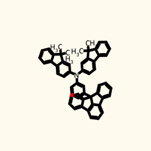 CC1(C)c2ccccc2-c2ccc(N(c3cccc(C45c6ccccc6-c6cccc(c64)-c4ccccc45)c3)c3ccc4c(c3)C(C)(C)c3ccccc3-4)cc21